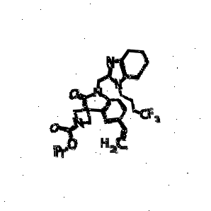 C=Cc1ccc2c(c1)C1(CN(C(=O)OC(C)C)C1)C(=O)N2Cc1nc2c(n1CCCC(F)(F)F)CCCC2